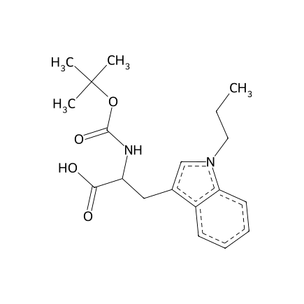 CCCn1cc(CC(NC(=O)OC(C)(C)C)C(=O)O)c2ccccc21